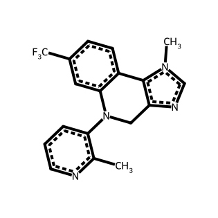 Cc1ncccc1N1Cc2ncn(C)c2-c2ccc(C(F)(F)F)cc21